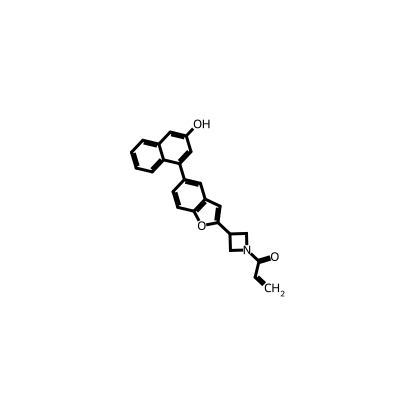 C=CC(=O)N1CC(c2cc3cc(-c4cc(O)cc5ccccc45)ccc3o2)C1